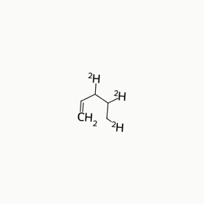 [2H]CC([2H])C([2H])C=C